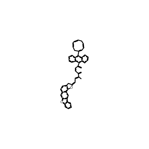 C=C(/C=C\C(=C)c1c2ccccc2c(/C2=C/C=C\C/C=C\C=C/C2)c2ccccc12)/C(C)=C/C=C1\Cc2ccc3cc4oc5ccccc5c4cc3c2O1